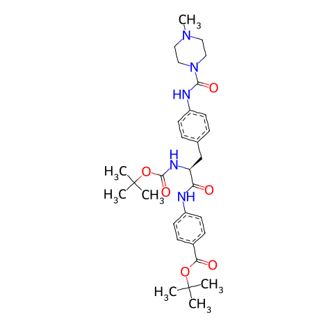 CN1CCN(C(=O)Nc2ccc(C[C@H](NC(=O)OC(C)(C)C)C(=O)Nc3ccc(C(=O)OC(C)(C)C)cc3)cc2)CC1